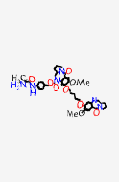 COc1cc2c(cc1OCCCCCOc1cc3c(cc1OC)C(=O)N1CCCC1CN3C(=O)OCc1ccc(NC(=O)[C@H](C)N)cc1)N=CC1CCCN1C2=O